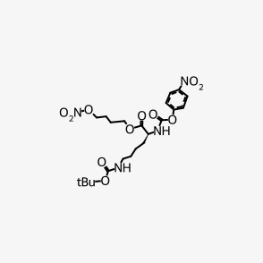 CC(C)(C)OC(=O)NCCCC[C@H](NC(=O)Oc1ccc([N+](=O)[O-])cc1)C(=O)OCCCCO[N+](=O)[O-]